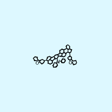 c1ccc(N(c2ccccc2)c2c3c(cc4c5ccc6c7cccc8ccc(-c9ccc%10oc%11ccccc%11c%10c9)c(c9ccc(c24)c5c69)c87)c2ccc(-c4ccc5oc6ccccc6c5c4)c4cccc3c42)cc1